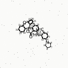 Cc1ccc(N2CCCC2)cc1Nc1cccc2c1C(=O)OC21c2ccccc2Oc2ccccc21